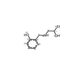 CCC(O)CNCc1ncccc1O